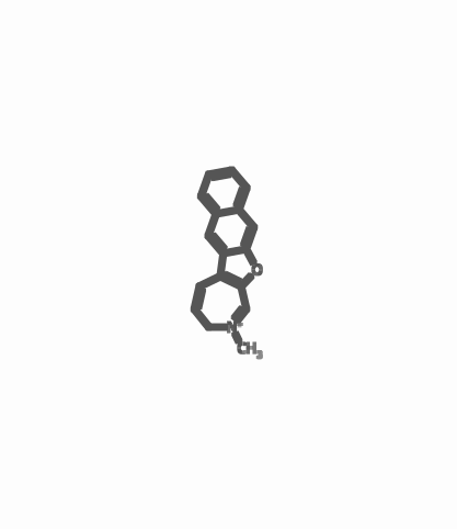 C[N+]1=Cc2oc3cc4ccccc4cc3c2C=CC1